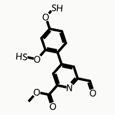 COC(=O)c1cc(-c2ccc(OS)cc2OS)cc(C=O)n1